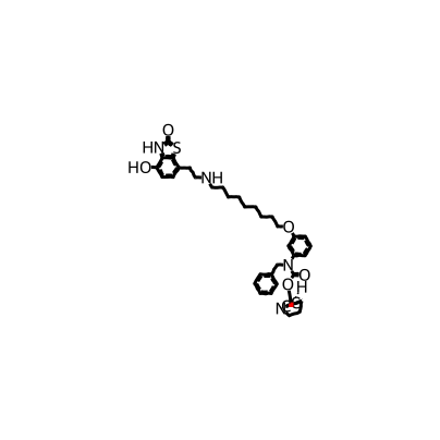 O=C(O[C@H]1CN2CCC1CC2)N(Cc1ccccc1)c1cccc(OCCCCCCCCCNCCc2ccc(O)c3[nH]c(=O)sc23)c1